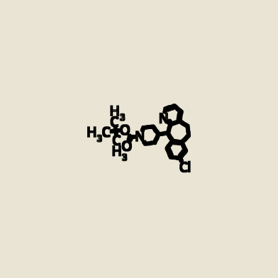 CC(C)(C)OC(=O)N1CCC(C2c3ccc(Cl)cc3CCc3cccnc32)CC1